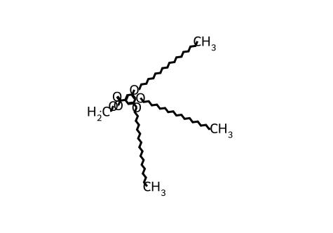 [CH2]COOC(=O)c1cc(OCCCCCCCCCCCCCCCCCC)c(OCCCCCCCCCCCCCCCCCC)c(OCCCCCCCCCCCCCCCCCC)c1